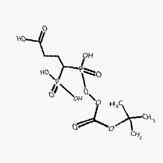 CC(C)(C)OC(=O)OOP(=O)(O)C(CCC(=O)O)P(=O)(O)O